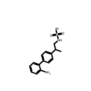 CC(CNS(=O)(=O)C(C)C)c1ccc(-c2ccccc2N)cc1